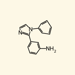 Nc1cccc(-c2nccn2-c2ccccc2)c1